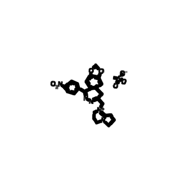 CS(=O)(=O)[O-].O=[N+]([O-])c1ccc(C2=NN=C(C[N+]3=C4CCCN4CCC3)Cc3cc4c(cc32)OCO4)cc1